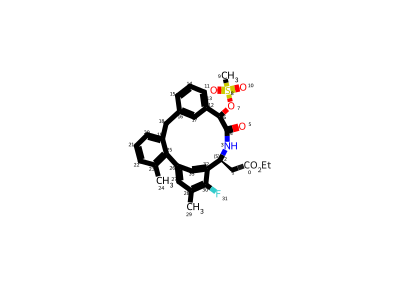 CCOC(=O)C[C@@H]1NC(=O)C(OS(C)(=O)=O)c2cccc(c2)Cc2cccc(C)c2-c2cc(C)c(F)c1c2